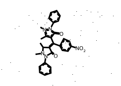 Cc1c(/C(=C2/C(=O)N(c3ccccc3)N(C)C2C)c2ccc([N+](=O)[O-])cc2)c(=O)n(-c2ccccc2)n1C